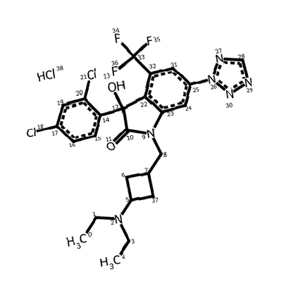 CCN(CC)C1CC(CN2C(=O)C(O)(c3ccc(Cl)cc3Cl)c3c2cc(-n2ncnn2)cc3C(F)(F)F)C1.Cl